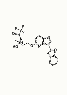 C[SH](O)(CCOc1ccc2ncc(-c3cc4ccccc4o3)n2n1)=NC(=O)C(F)(F)F